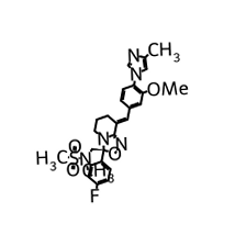 COc1cc(/C=C2\CCCN3C2=NO[C@]3(CN(C)S(C)(=O)=O)c2ccc(F)cc2)ccc1-n1cnc(C)c1